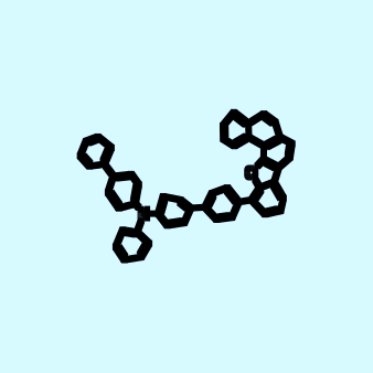 c1ccc(-c2ccc(N(c3ccccc3)c3ccc(-c4ccc(-c5cccc6c5oc5c6ccc6ccc7ccccc7c65)cc4)cc3)cc2)cc1